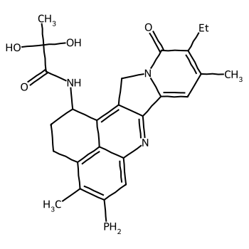 CCc1c(C)cc2n(c1=O)Cc1c-2nc2cc(P)c(C)c3c2c1C(NC(=O)C(C)(O)O)CC3